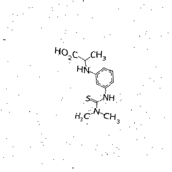 CC(Nc1cccc(NC(=S)N(C)C)c1)C(=O)O